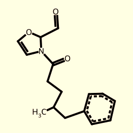 CC(CCC(=O)N1C=COC1C=O)Cc1ccccc1